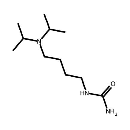 CC(C)N(CCCCNC(N)=O)C(C)C